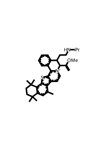 C=C(OC)C1C(CCNC(C)C)c2ccccc2-c2c3sc4c5c(cc(C)c4c3cc[n+]21)C(C)(C)CCC5(C)C